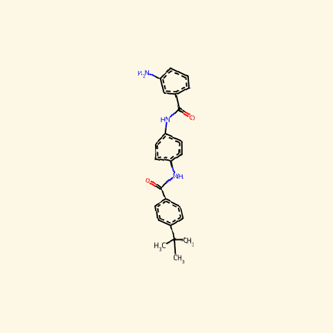 CC(C)(C)c1ccc(C(=O)Nc2ccc(NC(=O)c3cccc(N)c3)cc2)cc1